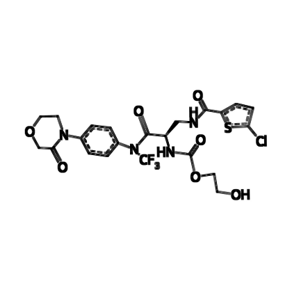 O=C(N[C@H](CNC(=O)c1ccc(Cl)s1)C(=O)N(c1ccc(N2CCOCC2=O)cc1)C(F)(F)F)OCCO